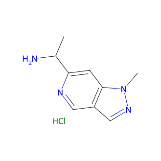 CC(N)c1cc2c(cn1)cnn2C.Cl